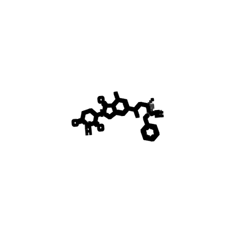 CCN(Cc1ccccc1)[C@@H](C)CC(C)C1=CC(C)C2C(=O)N(C3CCC(=O)NC3=O)CC2=C1